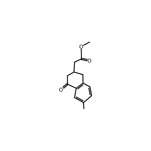 COC(=O)CC1CC(=O)c2cc(C)ccc2C1